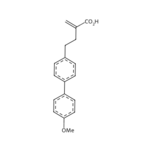 C=C(CCc1ccc(-c2ccc(OC)cc2)cc1)C(=O)O